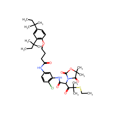 CCSC(C)(C)C(=O)C(C(=O)Nc1cc(NC(=O)CCCOc2ccc(C(C)(C)CC)cc2C(C)(C)CC)ccc1Cl)N1C(=O)OC(C)(C)C1=O